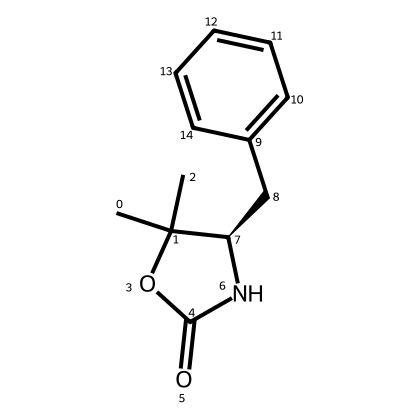 CC1(C)OC(=O)N[C@@H]1Cc1ccccc1